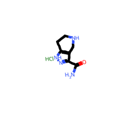 Cl.NC(=O)c1n[nH]c2c1CNCC2